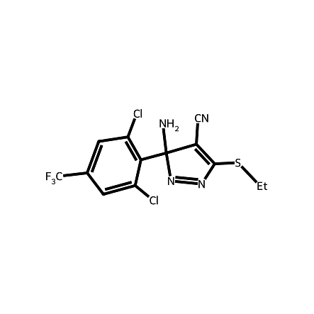 CCSC1=C(C#N)C(N)(c2c(Cl)cc(C(F)(F)F)cc2Cl)N=N1